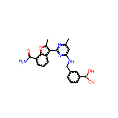 Cc1cc(NCc2cccc(B(O)O)c2)nc(-c2c(C)oc3c(C(N)=O)cccc23)n1